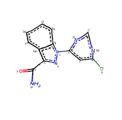 NC(=O)c1nn(-c2cc(Cl)ncn2)c2ccccc12